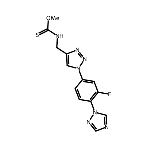 COC(=S)NCc1cn(-c2ccc(-n3cncn3)c(F)c2)nn1